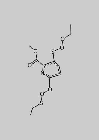 CCOOSc1ccc(OOSCC)nc1C(=O)OC